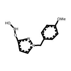 COc1ccc(Cn2ccc(OBO)n2)cc1